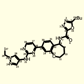 CC(C)(C)c1nnc(C(=O)NC2CCCOc3cc(-c4ccnc(Nc5cnn(CI)c5)n4)ccc32)o1